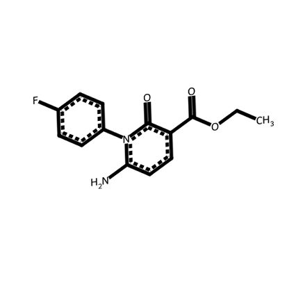 CCOC(=O)c1ccc(N)n(-c2ccc(F)cc2)c1=O